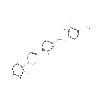 CCOc1ccc(OCc2ccc(C3=CCC(c4ccc(C)c(F)c4F)CC3)c(F)c2)c(F)c1F